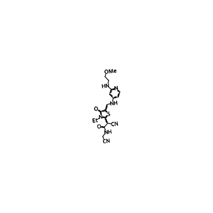 CCn1c(=C(C#N)C(=O)NCC#N)sc(=CNc2ccnc(NCCOC)c2)c1=O